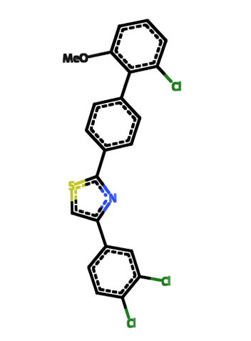 COc1cccc(Cl)c1-c1ccc(-c2nc(-c3ccc(Cl)c(Cl)c3)cs2)cc1